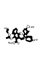 COC(=O)c1c2c(c3ccccc3c1OC(C)OCCO)OC(c1ccc(OC)cc1)(c1ccc(OC)cc1)C=C2